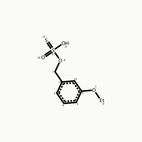 CCOc1cccc(COS(=O)(O)=S)c1